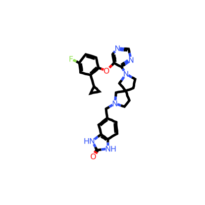 O=c1[nH]c2ccc(CN3CCC4(CCN(c5ncncc5Oc5ccc(F)cc5C5CC5)C4)C3)cc2[nH]1